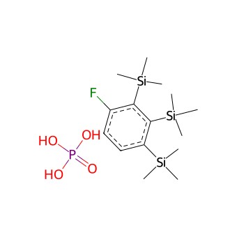 C[Si](C)(C)c1ccc(F)c([Si](C)(C)C)c1[Si](C)(C)C.O=P(O)(O)O